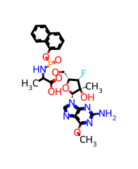 COc1nc(N)nc2c1ncn2[C@@H]1O[C@H](COP(=O)(NC(C)C(=O)O)Oc2cccc3ccccc23)[C@H](F)[C@@]1(C)O